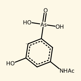 CC(=O)Nc1cc(O)[c]c([As](=O)(O)O)c1